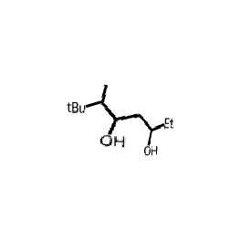 CCC(O)CC(O)C(C)C(C)(C)C